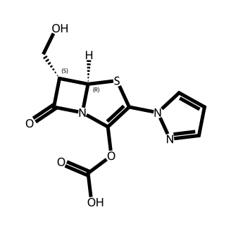 O=C(O)OC1=C(n2cccn2)S[C@@H]2[C@@H](CO)C(=O)N12